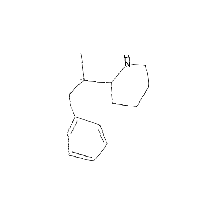 C[C](Cc1ccccc1)C1CCCCN1